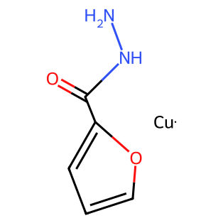 NNC(=O)c1ccco1.[Cu]